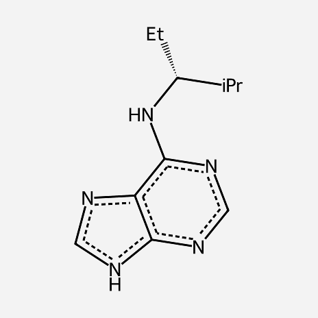 CC[C@@H](Nc1ncnc2[nH]cnc12)C(C)C